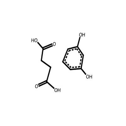 O=C(O)CCC(=O)O.Oc1cccc(O)c1